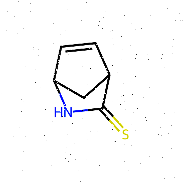 S=C1NC2C=CC1C2